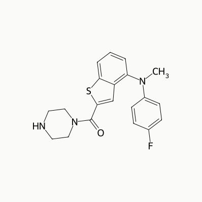 CN(c1ccc(F)cc1)c1cccc2sc(C(=O)N3CCNCC3)cc12